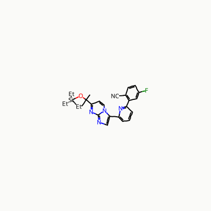 CC[Si](CC)(CC)OC(C)(C)c1ccn2c(-c3cccc(-c4cc(F)ccc4C#N)n3)cnc2n1